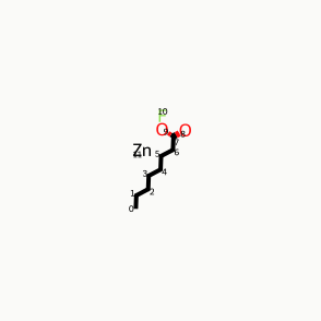 CCCCCCCC(=O)OF.[Zn]